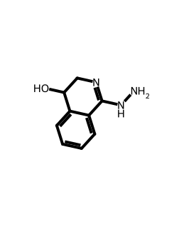 NNC1=NCC(O)c2ccccc21